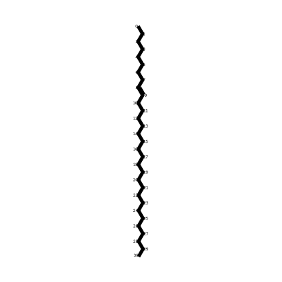 CCCCCCCCC=CCCCCCCCCCCCCCCCCCCCCC